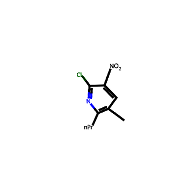 CCCc1nc(Cl)c([N+](=O)[O-])cc1C